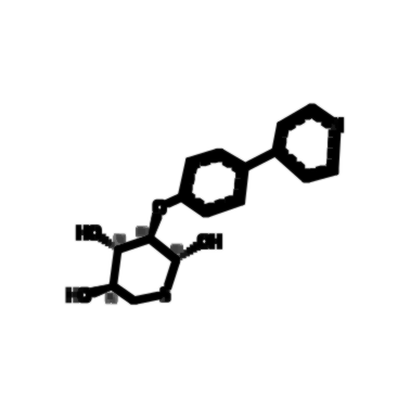 O[C@@H]1[C@@H](Oc2ccc(-c3ccncc3)cc2)[C@H](O)SC[C@H]1O